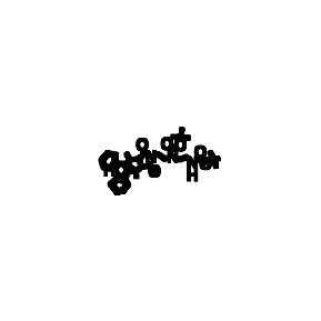 CC(C)(C)OC(=O)NCCN(CCN1C(=O)C2C(C1=O)C1(C)C(c3ccccc3)=C(c3ccccc3)C2(C)C1O)C(=O)OC(C)(C)C